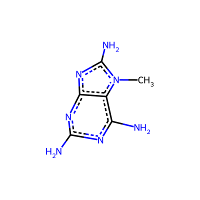 Cn1c(N)nc2nc(N)nc(N)c21